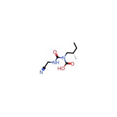 CC[C@H](C)CN(C(=O)O)C(=O)NCC#N